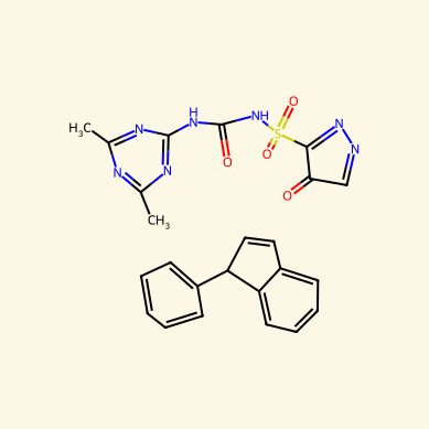 C1=CC(c2ccccc2)c2ccccc21.Cc1nc(C)nc(NC(=O)NS(=O)(=O)C2=NN=CC2=O)n1